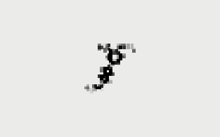 CCN1CC2(C1)CN(C1CCN(CC)C(C)C1)C2